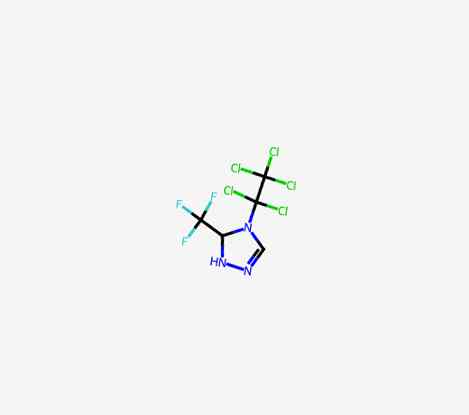 FC(F)(F)C1NN=CN1C(Cl)(Cl)C(Cl)(Cl)Cl